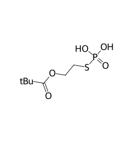 CC(C)(C)C(=O)OCCSP(=O)(O)O